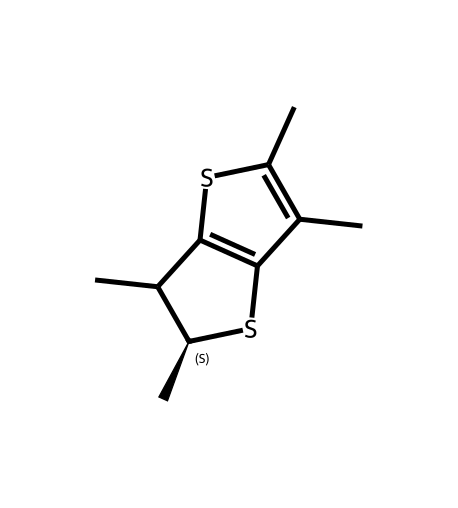 Cc1sc2c(c1C)S[C@@H](C)C2C